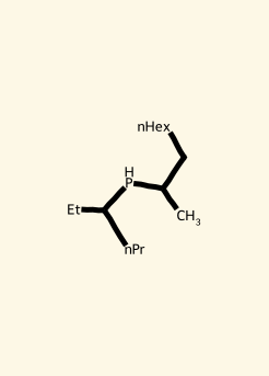 CCCCCCCC(C)PC(CC)CCC